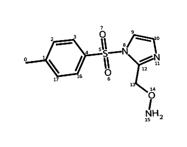 Cc1ccc(S(=O)(=O)n2ccnc2CON)cc1